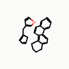 C1=CCC(Cc2ccoc2)=C1.c1ccc2c(c1)ccc1c3c(ccc12)CCCC3